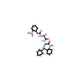 C[C@H](NC(=O)Cc1ccccc1[N+](=O)[O-])C(=O)N[C@H]1N=C(c2ccccc2)c2ccccc2N(C)C1=O